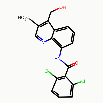 O=C(O)c1cnc2c(NC(=O)c3c(Cl)cccc3Cl)cccc2c1CO